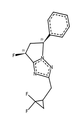 F[C@H]1C[C@@H](c2ccccc2)n2nc(CC3CC3(F)F)nc21